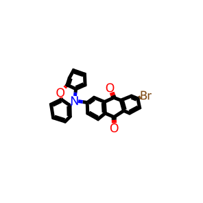 O=C1c2ccc(Br)cc2C(=O)c2cc(N3c4ccccc4Oc4ccccc43)ccc21